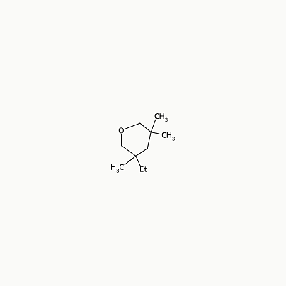 CCC1(C)COCC(C)(C)C1